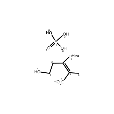 CCCCCCC(CCO)=C(C)C(=O)O.O=P(O)(O)O